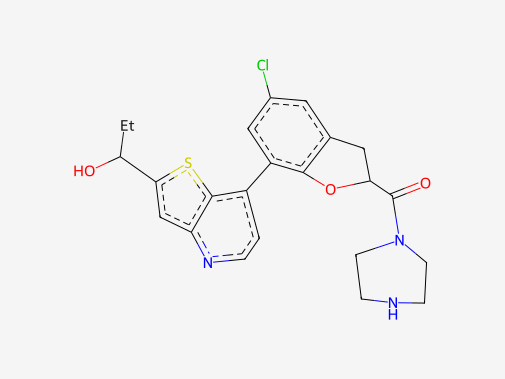 CCC(O)c1cc2nccc(-c3cc(Cl)cc4c3OC(C(=O)N3CCNCC3)C4)c2s1